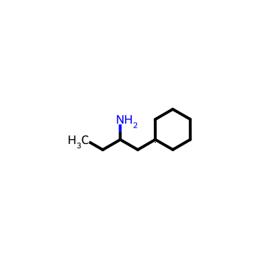 CCC(N)C[C]1CCCCC1